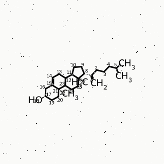 C=C(CCCC(C)C)[C@H]1CCC2C3CC=C4C[C@@H](O)CC[C@]4(C)C3CC[C@@]21C